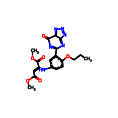 CCCOc1ccc(N/C(=C\C(=O)OC)C(=O)OC)cc1C1=NC(=O)C2=NN=NC2=N1